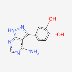 Nc1ncnc2[nH]nc(-c3ccc(O)c(O)c3)c12